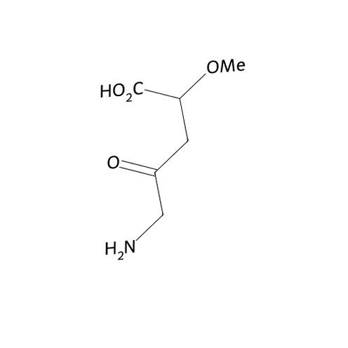 COC(CC(=O)CN)C(=O)O